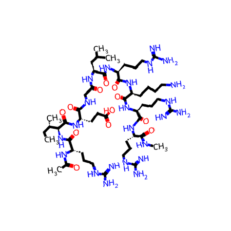 CC[C@H](C)[C@H](NC(=O)[C@H](CCCNC(=N)N)NC(C)=O)C(=O)N[C@@H](CCC(=O)O)C(=O)NCC(=O)N[C@@H](CC(C)C)C(=O)N[C@@H](CCCNC(=N)N)C(=O)N[C@@H](CCCCN)C(=O)N[C@@H](CCCNC(=N)N)C(=O)N[C@@H](CCCNC(=N)N)C(=O)NC